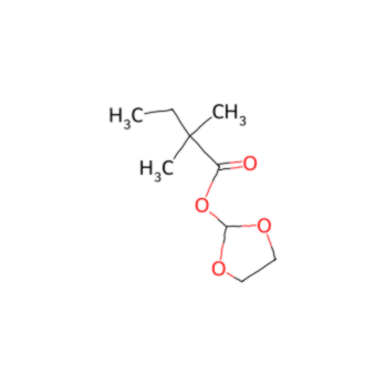 CCC(C)(C)C(=O)OC1OCCO1